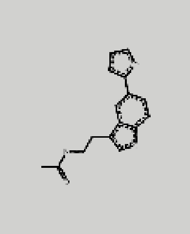 CC(=O)NCCc1coc2ccc(-c3ccco3)cc12